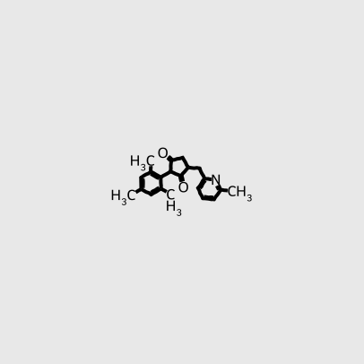 Cc1cc(C)c(C2C(=O)CC(Cc3cccc(C)n3)C2=O)c(C)c1